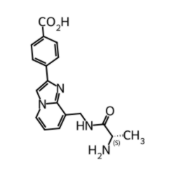 C[C@H](N)C(=O)NCc1cccn2cc(-c3ccc(C(=O)O)cc3)nc12